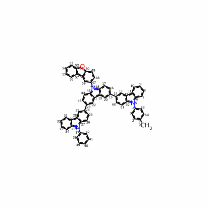 Cc1ccc(-n2c3ccccc3c3cc(-c4ccc5c(c4)c4cc(-c6ccc7c(c6)c6ccccc6n7-c6ccccc6)ccc4n5-c4ccc5oc6ccccc6c5c4)ccc32)cc1